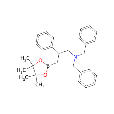 CC1(C)OB(CC(CN(Cc2ccccc2)Cc2ccccc2)c2ccccc2)OC1(C)C